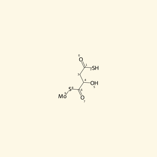 O=C(S)CC(O)C(=O)[S][Mo]